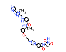 CC(NC(=O)c1cccc(NCc2nnc(-c3ccncn3)n2C)c1)c1cccc(OCCCCN2CCN(c3ccc4c(c3)CN(C3CCC(=O)NC3=O)C4=O)CC2)c1